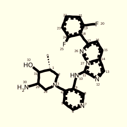 C[C@@H]1CN(c2ccncc2Nc2ncc3ccc(-c4c(F)cccc4F)nn23)CC(N)C1O